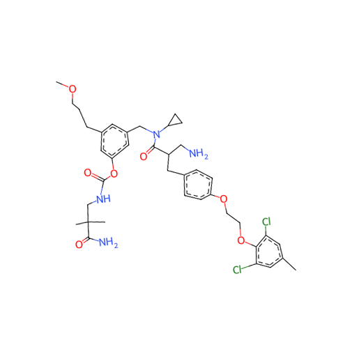 COCCCc1cc(CN(C(=O)C(CN)Cc2ccc(OCCOc3c(Cl)cc(C)cc3Cl)cc2)C2CC2)cc(OC(=O)NCC(C)(C)C(N)=O)c1